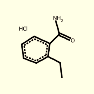 CCc1ccccc1C(N)=O.Cl